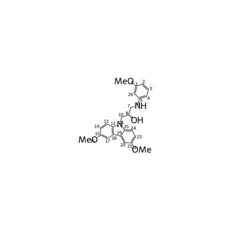 COc1cccc(NCC(O)Cn2c3ccc(OC)cc3c3cc(OC)ccc32)c1